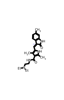 CCN(CC)CCNC(=O)c1c(C)[nH]c(/C=C2\C(=O)Nc3cc(C)ccc32)c1C